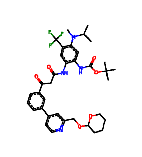 CC(C)N(C)c1cc(NC(=O)OC(C)(C)C)c(NC(=O)CC(=O)c2cccc(-c3ccnc(COC4CCCCO4)c3)c2)cc1C(F)(F)F